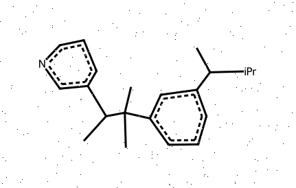 CC(C)C(C)c1cccc(C(C)(C)C(C)c2cccnc2)c1